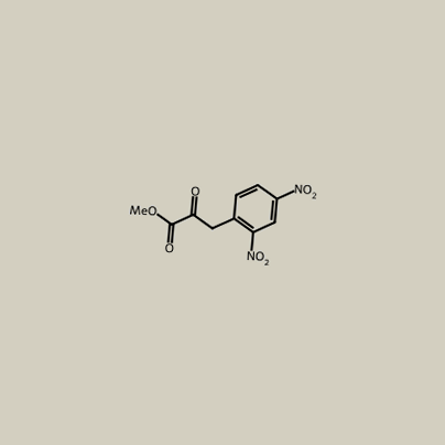 COC(=O)C(=O)Cc1ccc([N+](=O)[O-])cc1[N+](=O)[O-]